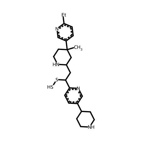 CCc1ccc(C2(C)CCNC(CC(SS)c3ccc(C4CCNCC4)cn3)C2)cn1